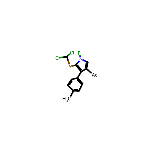 CC(=O)c1cn(F)c(SC(Cl)Cl)c1-c1ccc(C)cc1